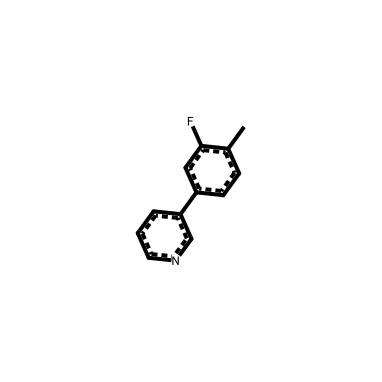 Cc1ccc(-c2cccnc2)cc1F